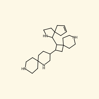 C1=CCC2(C1)CCNC2C1C(C2CCC3(CCNCC3)NC2)CC12CCNCC2